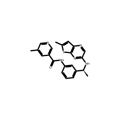 Cc1cncc(C(=O)Nc2cccc([C@H](C)Nc3cnc4cc(C)sc4n3)c2)c1